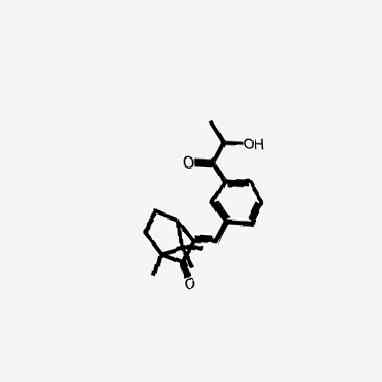 CC(O)C(=O)c1cccc(C=C2C(=O)C3(C)CCC2C3(C)C)c1